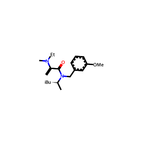 C=C(C(=O)N(Cc1cccc(OC)c1)C(C)[C@@H](C)CC)N(C)CC